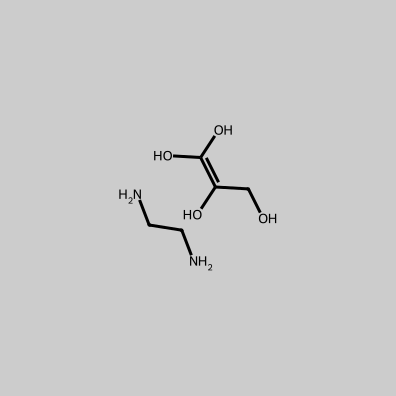 NCCN.OCC(O)=C(O)O